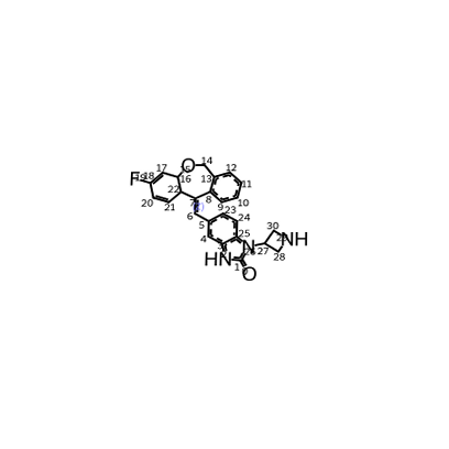 O=c1[nH]c2cc(/C=C3\c4ccccc4COC4C=C(F)C=CC34)ccc2n1C1CNC1